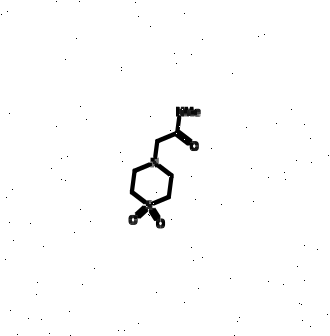 CNC(=O)CN1CCS(=O)(=O)CC1